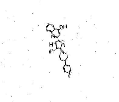 CC(C)[C@@H](NC(=O)c1cc(O)c2ccccc2n1)C(=O)N1CCC(c2ccc(Cl)cc2)CC1